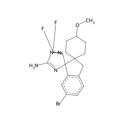 COC1CCC2(CC1)Cc1ccc(Br)cc1C21N=C(N)N2CC(F)(F)CN=C21